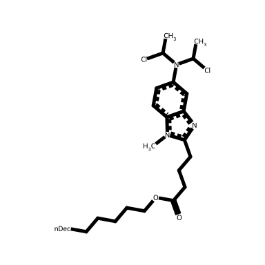 CCCCCCCCCCCCCCCOC(=O)CCCc1nc2cc(N(C(C)Cl)C(C)Cl)ccc2n1C